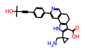 CC(C)(O)C#Cc1ccc(-c2cc3c(cn2)CCc2c-3[nH]c(C3(CN)CC3)c2C(=O)O)cc1